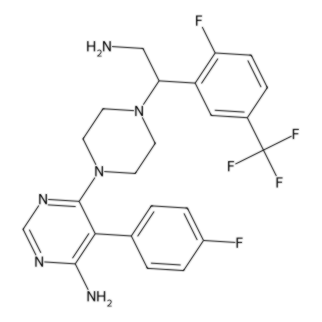 NCC(c1cc(C(F)(F)F)ccc1F)N1CCN(c2ncnc(N)c2-c2ccc(F)cc2)CC1